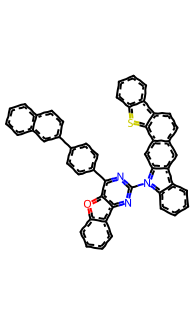 c1ccc2cc(-c3ccc(-c4nc(-n5c6ccccc6c6cc7ccc8c9ccccc9sc8c7cc65)nc5c4oc4ccccc45)cc3)ccc2c1